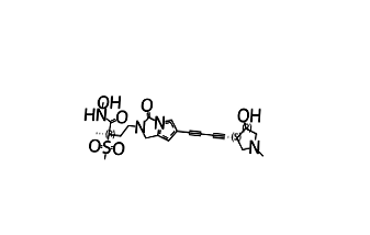 CN1C[C@H](O)[C@@H](C#CC#Cc2cc3n(c2)C(=O)N(CC[C@](C)(C(=O)NO)S(C)(=O)=O)C3)C1